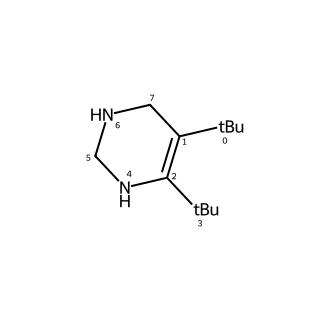 CC(C)(C)C1=C(C(C)(C)C)NCNC1